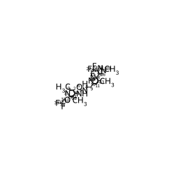 Cc1cc(NC(=O)NCCc2cc(C)c(-c3cn(C)nc3C(F)(F)F)nn2)c(C)c(OCC(F)F)n1